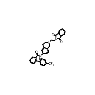 O=C(Nc1ccc2c(c1)CCN(CCN1C(=O)c3ccccc3C1=O)C2)c1ccccc1-c1ccc(C(F)(F)F)cc1